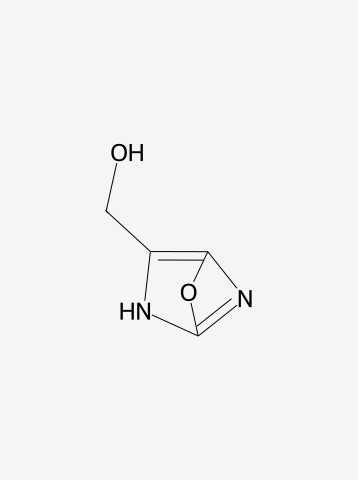 OCc1[nH]c2nc1O2